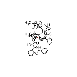 CC(=O)O[C@H]1C(=O)[C@@]2(C)[C@H]([C@H](OC(=O)c3ccccc3)[C@]3(O)CC(OC(=O)[C@H](O)[C@@H](NC(=O)c4ccccc4)c4ccccc4)C(C)=C1C3(C)C)[C@]1(OC(C)=O)CO[C@@H]1C[C@@H]2O